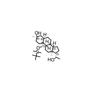 CC(O)[C@H]1CC[C@H]2[C@@H]3CC[C@@H]4C[C@](C)(O)CC[C@]4(CO[Si](C)(C)C(C)(C)C)[C@H]3CC[C@]12C